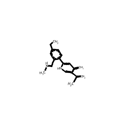 C=C(C)C1=CNC(c2ccc(CC)cc2CNC)=CC1=C